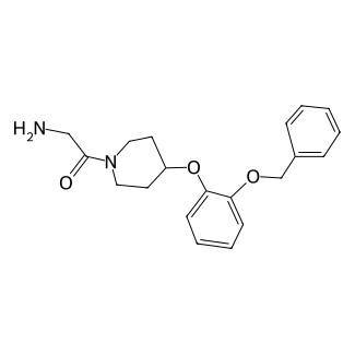 NCC(=O)N1CCC(Oc2ccccc2OCc2ccccc2)CC1